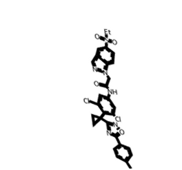 CCS(=O)(=O)c1ccc2c(cnn2CC(=O)Nc2cc(Cl)c(C3(c4noc(-c5ccc(C)cc5)n4)CC3)c(Cl)c2)c1